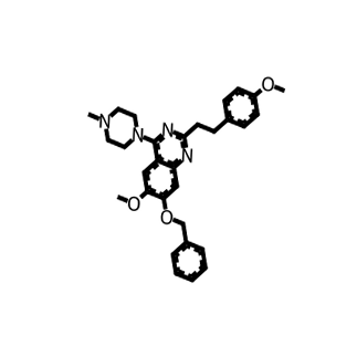 COc1ccc(CCc2nc(N3CCN(C)CC3)c3cc(OC)c(OCc4ccccc4)cc3n2)cc1